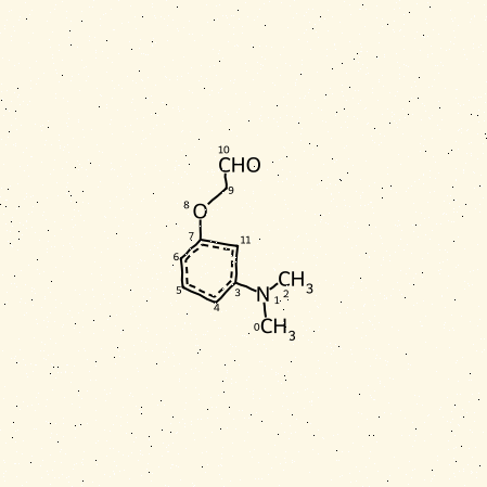 CN(C)c1cccc(OCC=O)c1